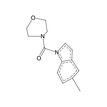 Cc1ccc2c(ccn2C(=O)N2CCOCC2)c1